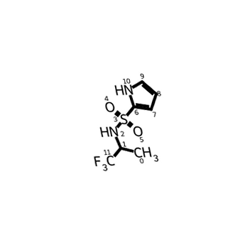 CC(NS(=O)(=O)c1ccc[nH]1)C(F)(F)F